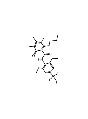 CCCCc1c(C(=O)Nc2c(CC)cc(C(F)(F)F)cc2CC)c(=O)c(C)c(C)n1C